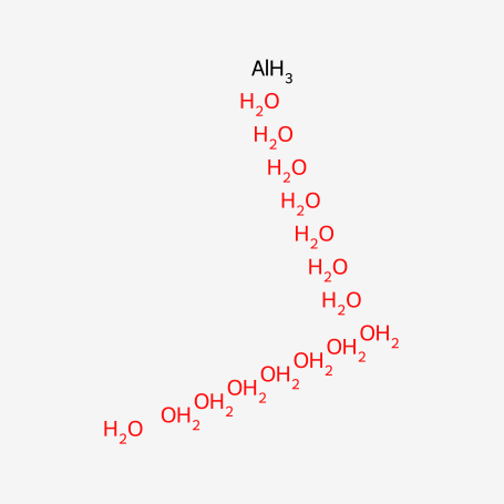 O.O.O.O.O.O.O.O.O.O.O.O.O.O.O.[AlH3]